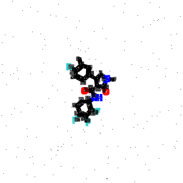 Cc1cc([C@H]2CN(C)C(=O)[C@@H]2C(=O)Nc2ccc(F)c(F)c2F)ccc1F